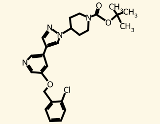 CC(C)(C)OC(=O)N1CCC(n2cc(-c3cncc(OCc4ccccc4Cl)c3)cn2)CC1